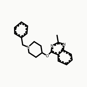 Cc1nc(OC2CCN(Cc3ccccc3)CC2)c2ccccc2n1